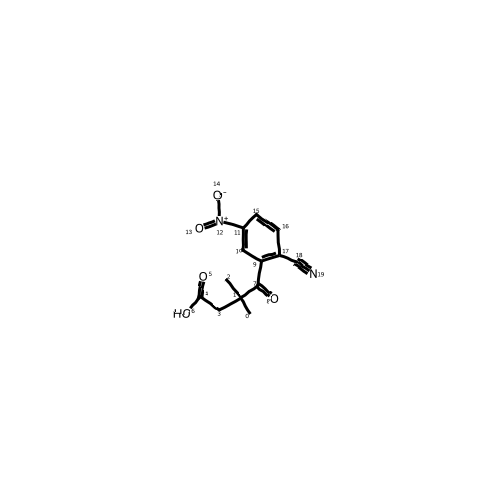 CC(C)(CC(=O)O)C(=O)c1cc([N+](=O)[O-])ccc1C#N